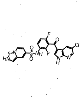 O=C(c1c(F)ccc(NS(=O)(=O)C2=CC3=CNSN3C=C2)c1F)c1c[nH]c2ncc(Cl)cc12